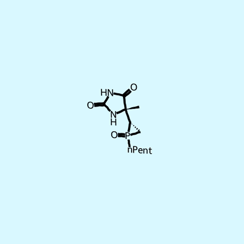 CCCCCP1(=O)C[C@H]1[C@]1(C)NC(=O)NC1=O